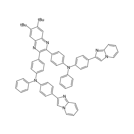 CC(C)(C)c1cc2nc(-c3ccc(N(c4ccccc4)c4ccc(-c5cn6ccccc6n5)cc4)cc3)c(-c3ccc(N(c4ccccc4)c4ccc(-c5cn6ccccc6n5)cc4)cc3)nc2cc1C(C)(C)C